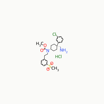 COC(=O)N(CCc1cccc(S(C)(=O)=O)c1)[C@H]1CC[C@](CN)(c2cccc(Cl)c2)CC1.Cl